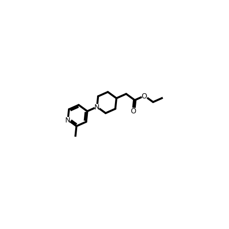 CCOC(=O)CC1CCN(c2ccnc(C)c2)CC1